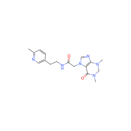 Cc1ccc(CCNC(=O)Cn2cnc3c2C(=O)N(C)CN3C)cn1